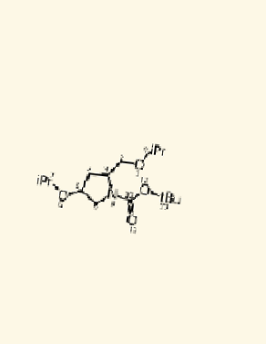 CC(C)OCC1CC(OC(C)C)CN1C(=O)OC(C)(C)C